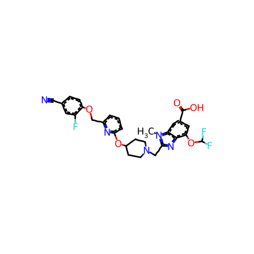 Cn1c(CN2CCC(Oc3cccc(COc4ccc(C#N)cc4F)n3)CC2)nc2c(OC(F)F)cc(C(=O)O)cc21